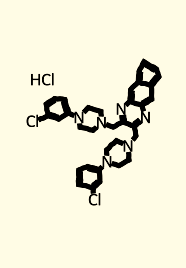 Cl.Clc1cccc(N2CCN(Cc3nc4cc5ccccc5cc4nc3CN3CCN(c4cccc(Cl)c4)CC3)CC2)c1